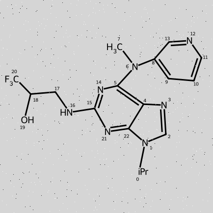 CC(C)n1cnc2c(N(C)c3cccnc3)nc(NCC(O)C(F)(F)F)nc21